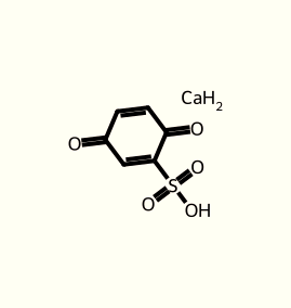 O=C1C=CC(=O)C(S(=O)(=O)O)=C1.[CaH2]